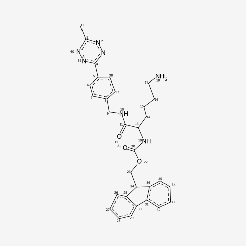 Cc1nnc(-c2ccc(CNC(=O)C(CCCCN)NC(=O)OCC3c4ccccc4-c4ccccc43)cc2)nn1